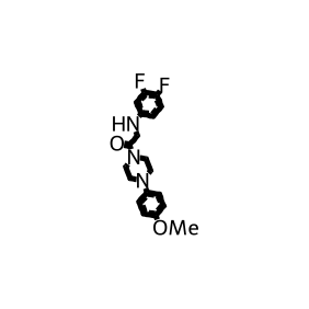 COc1ccc(N2CCN(C(=O)CNc3ccc(F)c(F)c3)CC2)cc1